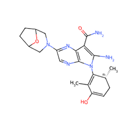 CC1=C(n2c(N)c(C(N)=O)c3nc(N4CC5CCC(C4)O5)cnc32)[C@H](C)CC=C1O